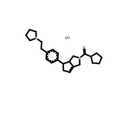 Cl.O=C(C1CCCC1)N1CC2=CCC(c3ccc(CCN4CCCC4)cc3)C2C1